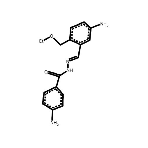 CCOCc1ccc(N)cc1/C=N/NC(=O)c1ccc(N)cc1